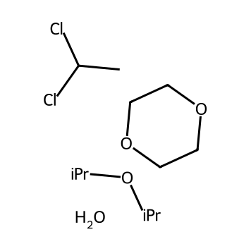 C1COCCO1.CC(C)OC(C)C.CC(Cl)Cl.O